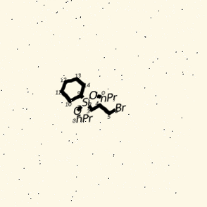 CCCO[Si](CCCBr)(OCCC)C1CCCCC1